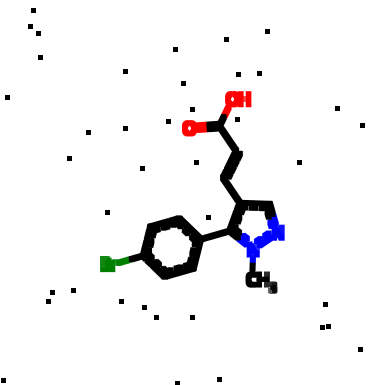 Cn1ncc(/C=C/C(=O)O)c1-c1ccc(Br)cc1